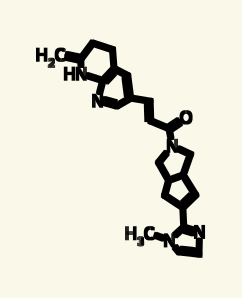 C=C1CCc2cc(/C=C/C(=O)N3CC4C=C(c5nccn5C)CC4C3)cnc2N1